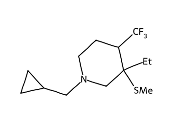 CCC1(SC)CN(CC2CC2)CCC1C(F)(F)F